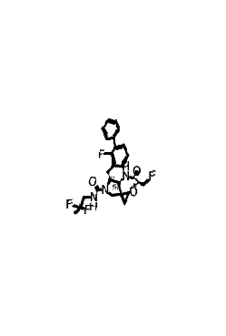 CC(F)(F)CNC(=O)N1CC2(CC2)[C@H](NS(=O)(=O)CF)[C@@H]1Cc1cccc(-c2ccccc2)c1F